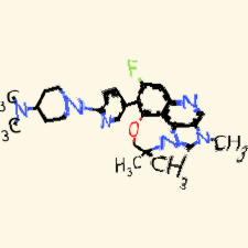 CN1CN2c3c1cnc1cc(F)c(-c4ccc(N5CCC(N(C)C)CC5)nc4)c(c31)OCC2(C)C